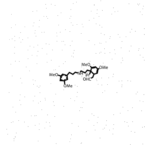 COC1=CC(CC=O)C(CCCNCCCc2cc(OC)cc(OC)c2)(C(C)C)C(OC)=C1